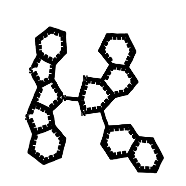 c1ccc2cc(-c3nc(-n4c5c6ccccc6sc5c5sc6ccccc6c54)nc4c3ccc3ccccc34)ccc2c1